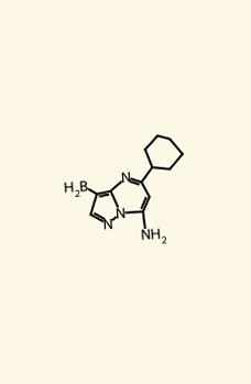 Bc1cnn2c(N)cc(C3CCCCC3)nc12